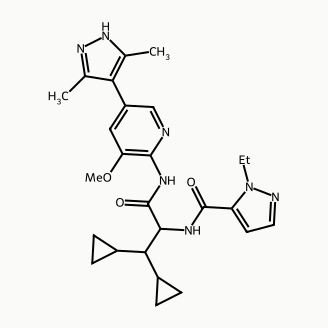 CCn1nccc1C(=O)NC(C(=O)Nc1ncc(-c2c(C)n[nH]c2C)cc1OC)C(C1CC1)C1CC1